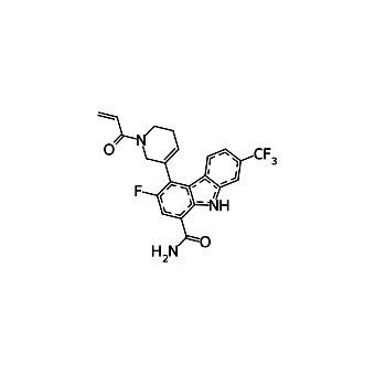 C=CC(=O)N1CCC=C(c2c(F)cc(C(N)=O)c3[nH]c4cc(C(F)(F)F)ccc4c23)C1